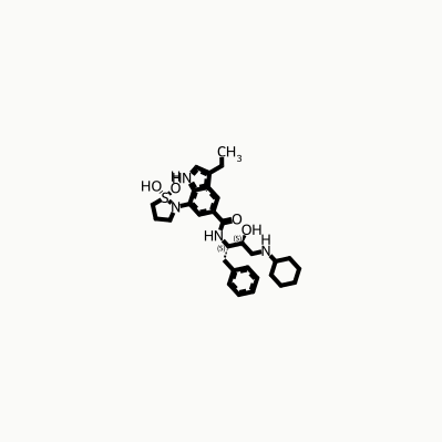 CCc1c[nH]c2c(N3CCCS3(O)O)cc(C(=O)N[C@@H](Cc3ccccc3)[C@@H](O)CNC3CCCCC3)cc12